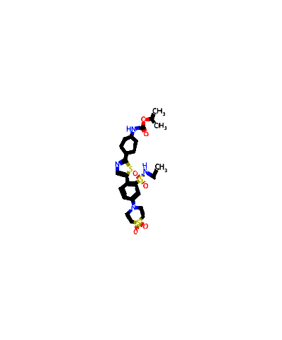 CCNS(=O)(=O)c1cc(N2CCS(=O)(=O)CC2)ccc1-c1cnc(C2CCC(NC(=O)OC(C)C)CC2)s1